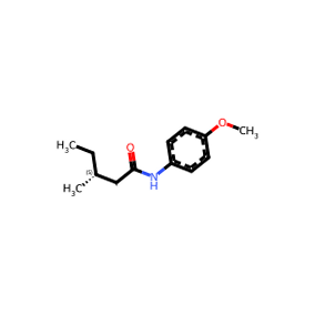 CC[C@@H](C)[CH]C(=O)Nc1ccc(OC)cc1